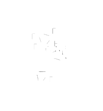 Fc1ccccc1C1CCc2nc(Cl)nc(Oc3c(F)c(F)cc(F)c3F)c2C1